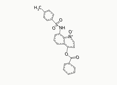 Cc1ccc(S(=O)(=O)Nc2cccc3c(OC(=O)c4ccccc4)cc[n+]([O-])c23)cc1